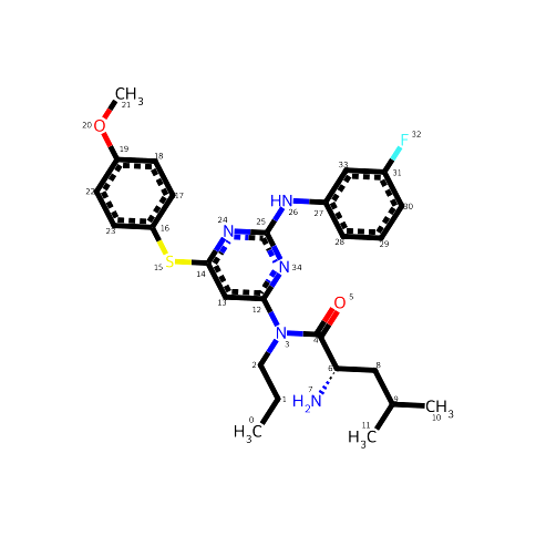 CCCN(C(=O)[C@@H](N)CC(C)C)c1cc(Sc2ccc(OC)cc2)nc(Nc2cccc(F)c2)n1